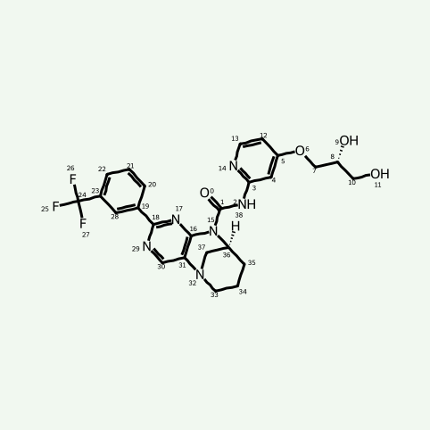 O=C(Nc1cc(OC[C@H](O)CO)ccn1)N1c2nc(-c3cccc(C(F)(F)F)c3)ncc2N2CCC[C@H]1C2